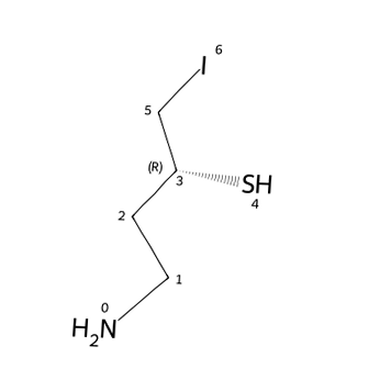 NCC[C@@H](S)CI